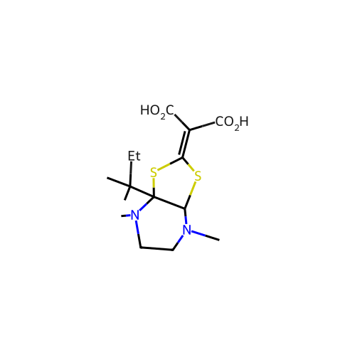 CCC(C)(C)C12SC(=C(C(=O)O)C(=O)O)SC1N(C)CCN2C